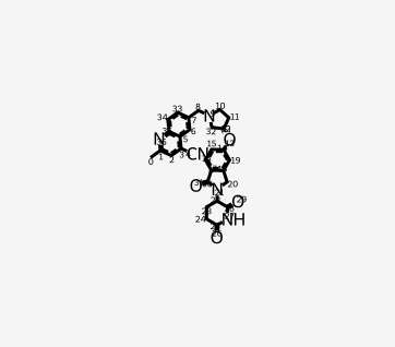 Cc1cc(C#N)c2cc(CN3CC[C@H](Oc4ccc5c(c4)CN(C4CCC(=O)NC4=O)C5=O)C3)ccc2n1